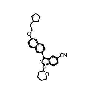 N#Cc1ccc2c(c1)c(-c1ccc3cc(OCCC4CCCC4)ccc3c1)nn2C1CCCCO1